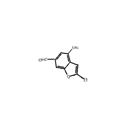 CCc1cc2c(OC(C)=O)cc(C=O)cc2o1